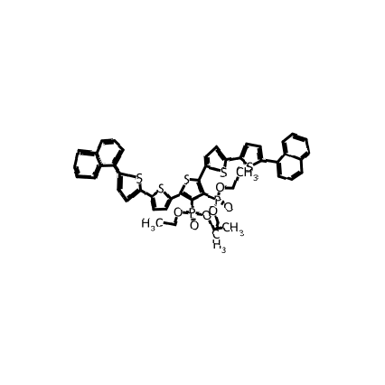 CCOP(=O)(OCC)c1c(-c2ccc(-c3ccc(-c4cccc5ccccc45)s3)s2)sc(-c2ccc(-c3ccc(-c4cccc5ccccc45)s3)s2)c1P(=O)(OCC)OCC